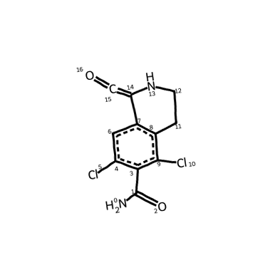 NC(=O)c1c(Cl)cc2c(c1Cl)CCNC2=C=O